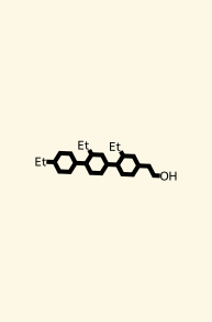 CCC1CCC(C2CCC(C3CCC(CCO)CC3CC)CC2CC)CC1